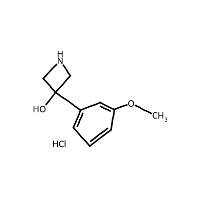 COc1cccc(C2(O)CNC2)c1.Cl